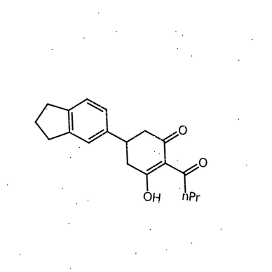 CCCC(=O)C1=C(O)CC(c2ccc3c(c2)CCC3)CC1=O